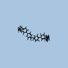 Cc1c(C)c(-c2c(C)c(C)c3c(nnn3C)c2C)c(C)c(C)c1Oc1c(C)c(C)c(-c2c(C)c(C)c3c(nnn3C)c2C)c(C)c1C